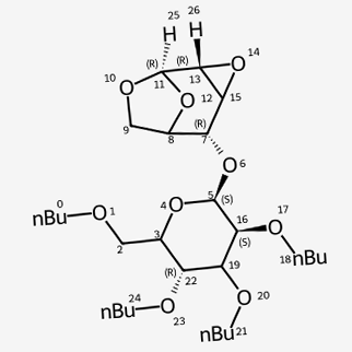 CCCCOCC1O[C@@H](O[C@@H]2C3CO[C@H](O3)[C@@H]3OC23)[C@@H](OCCCC)C(OCCCC)[C@@H]1OCCCC